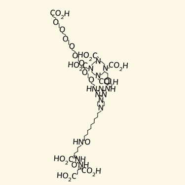 O=C(O)CCOCCOCCOCCOCCOCCOCCOCCOCCNc1nc(Nc2ccc(CC3CN(CC(=O)O)CCN(CC(=O)O)CCN(CC(=O)O)CCN3CC(=O)O)cc2)nc(N2CCN(CCCCCCCCCCC(=O)NCCCC[C@H](NC(=O)N[C@@H](CCC(=O)O)C(=O)O)C(=O)O)CC2)n1